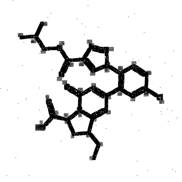 CCC1C[C@@H](C(=O)O)n2c1cc(-c1cc(Cl)ccc1-n1cc(C(=O)OCC(C)C)nn1)cc2=O